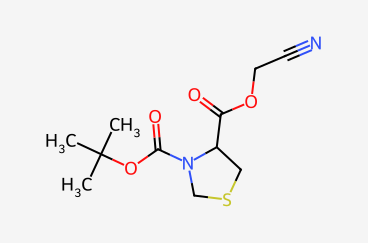 CC(C)(C)OC(=O)N1CSCC1C(=O)OCC#N